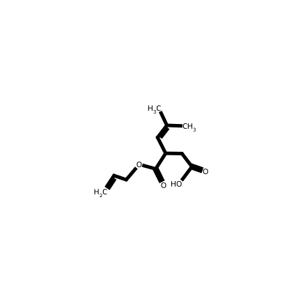 C=CCOC(=O)C(C=C(C)C)CC(=O)O